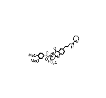 COc1ccc(S(=O)(=O)N[C@@H](Cc2nc3ccc(C=CCNC4=NCCCC4)cc3c(=O)[nH]2)C(=O)O)cc1OC